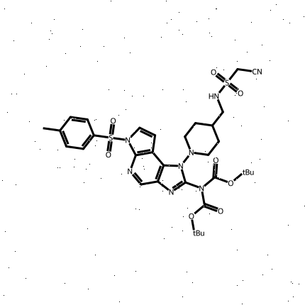 Cc1ccc(S(=O)(=O)n2ccc3c2ncc2nc(N(C(=O)OC(C)(C)C)C(=O)OC(C)(C)C)n(N4CCC(CNS(=O)(=O)CC#N)CC4)c23)cc1